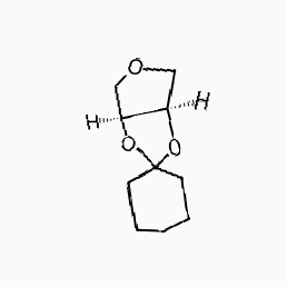 C1CCC2(CC1)O[C@H]1COC[C@H]1O2